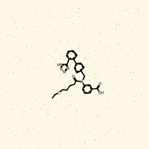 CCCCCCCC(=O)N(Cc1ccc(-c2ccccc2-c2nnn[nH]2)cc1)c1cccc(C(=O)O)c1